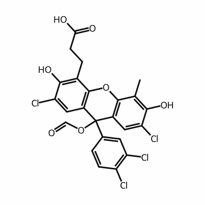 Cc1c(O)c(Cl)cc2c1Oc1c(cc(Cl)c(O)c1CCC(=O)O)C2(OC=O)c1ccc(Cl)c(Cl)c1